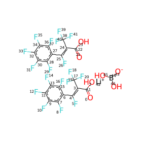 O=C(O)C(=C(F)c1c(F)c(F)c(F)c(F)c1F)C(F)(F)F.O=C(O)C(=C(F)c1c(F)c(F)c(F)c(F)c1F)C(F)(F)F.[Li+].[O-]B(O)O